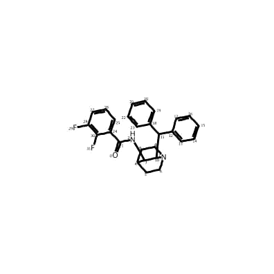 O=C(NC1C2CCN(CC2)C1C(c1ccccc1)c1ccccc1)c1cccc(F)c1F